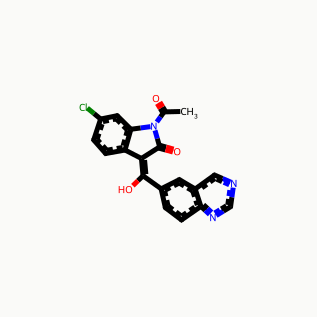 CC(=O)N1C(=O)C(=C(O)c2ccc3ncncc3c2)c2ccc(Cl)cc21